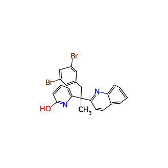 CC(Cc1cc(Br)cc(Br)c1)(c1cccc(O)n1)c1ccc2ccccc2n1